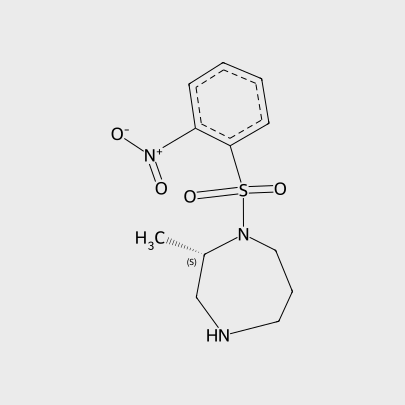 C[C@H]1CNCCCN1S(=O)(=O)c1ccccc1[N+](=O)[O-]